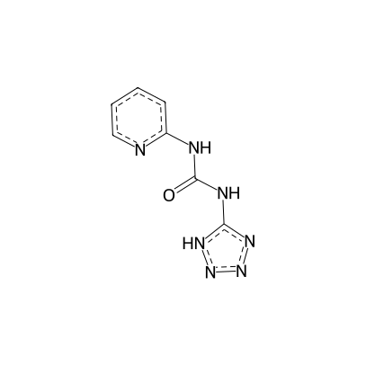 O=C(Nc1ccccn1)Nc1nnn[nH]1